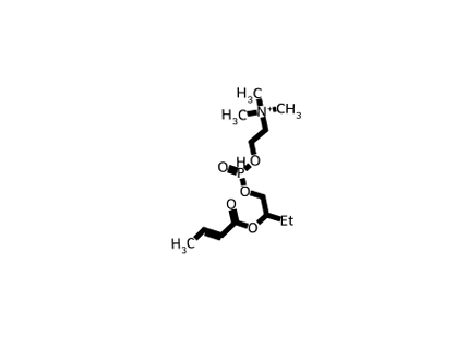 CC=CC(=O)OC(CC)CO[PH](=O)OCC[N+](C)(C)C